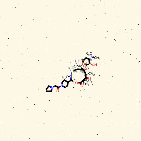 CO[C@]1(C)C[C@@H](C)CN(C)C(C2CCN(C(=O)CN3CCCC3)CC2)COC(=O)C(C)(C)C(=O)[C@H](C)[C@H]1O[C@@H]1O[C@H](C)C[C@H](N(C)C)[C@H]1O